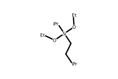 CCO[Si](CCC(C)C)(OCC)C(C)C